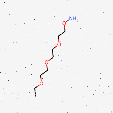 CCOCCOCCOCCON